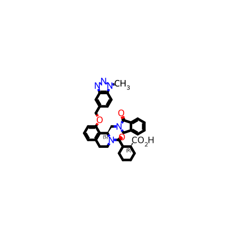 Cn1nnc2cc(COc3cccc4c3[C@@H](CN3Cc5ccccc5C3=O)N(C(=O)C3CCCC[C@H]3C(=O)O)CC4)ccc21